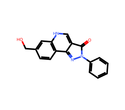 O=c1c2c[nH]c3cc(CO)ccc3c-2nn1-c1ccccc1